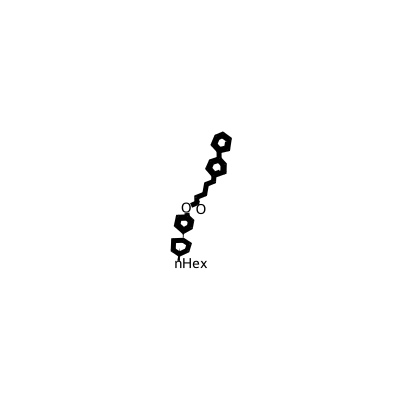 CCCCCC[C@H]1CC[C@H](c2ccc(OC(=O)CCCCc3ccc(-c4ccccc4)cc3)cc2)CC1